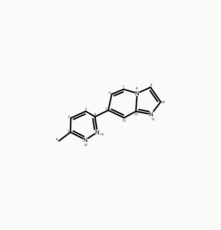 Cc1ccc(-c2ccn3ccnc3c2)nn1